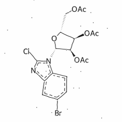 CC(=O)OC[C@H]1O[C@@H](n2c(Cl)nc3cc(Br)ccc32)[C@H](OC(C)=O)[C@@H]1OC(C)=O